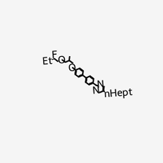 CCCCCCCc1cnc(-c2ccc(-c3ccc(OCC(C)COC[C@H](F)CC)cc3)cc2)nc1